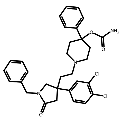 NC(=O)OC1(c2ccccc2)CCN(CCC2(c3ccc(Cl)c(Cl)c3)CC(=O)N(Cc3ccccc3)C2)CC1